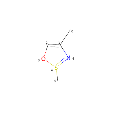 CC1=[C]OS(C)=N1